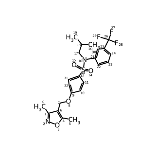 Cc1noc(C)c1COc1ccc(S(=O)(=O)N(CC(C)C)c2cccc(C(F)(F)F)c2)cc1